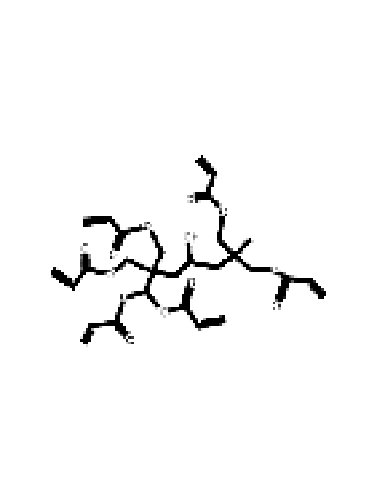 C=CC(=O)OCC(C)(COC(=O)C=C)CC(O)CC(COC(=O)C=C)(COC(=O)C=C)C(OC(=O)C=C)OC(=O)C=C